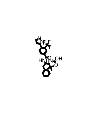 Cn1nccc1-c1ccc(C(=O)NC(Cc2ccccc2)C(NC(=O)O)C(C)(C)C)cc1C(F)(F)F